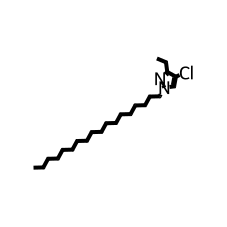 CCCCCCCCCCCCCCCCCCn1cc(Cl)c(CC)n1